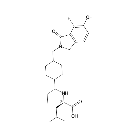 CCC(N[C@H](CC(C)C)C(=O)O)C1CCC(CN2Cc3ccc(O)c(F)c3C2=O)CC1